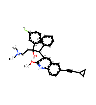 COc1nc2ccc(C#CC3CC3)cc2cc1C(c1ccccc1)C(O)(CCN(C)C)c1cccc(F)c1